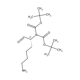 CC(C)(C)OC(=O)N(C(=O)OC(C)(C)C)[C@@H]([C]=O)CCCCN